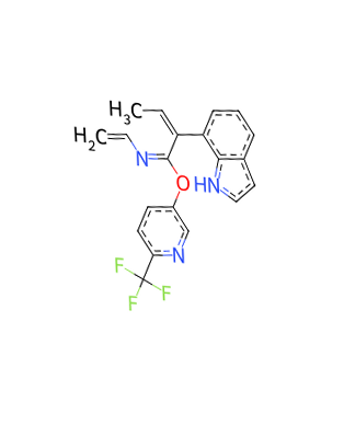 C=C/N=C(Oc1ccc(C(F)(F)F)nc1)\C(=C/C)c1cccc2cc[nH]c12